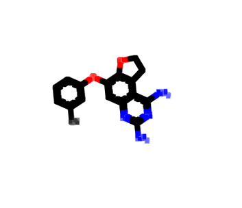 N#Cc1cccc(Oc2cc3nc(N)nc(N)c3c3c2OCC3)c1